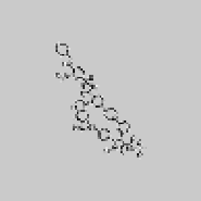 Cc1c(C(=O)NS(C)(=O)=O)c(-c2cccc(N3CCN(c4ccc(C(=O)NS(=O)(=O)c5ccc(NCC6CCOCC6)c([N+](=O)[O-])c5)c(N5CCOc6nc7[nH]ccc7cc65)c4)CC3)c2)c(-c2ccc(Cl)cc2)n1C(C)C